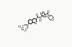 CCN(CC)c1ccc2cc(C(=O)Nc3nnc(C(=O)N4CCOCC4)[nH]3)cnc2c1